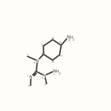 CN=C(N(C)N)N(C)C1CCC(N)CC1